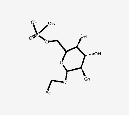 CC(=O)COC1OC(COP(=O)(O)O)[C@@H](O)[C@H](O)[C@H]1O